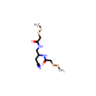 CSSCC(=O)NCC(CC#N)NC(=O)CSSC